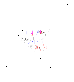 CCOc1ccccc1OCCN[C@H](C)Cc1ccc(OC)c(S(N)(=O)=O)c1.CCOc1ccccc1OCCN[C@H](C)Cc1ccc(OC)c(S(N)(=O)=O)c1.O=C(O)CCCCC(=O)O.O=C(O)CCCCC(=O)O